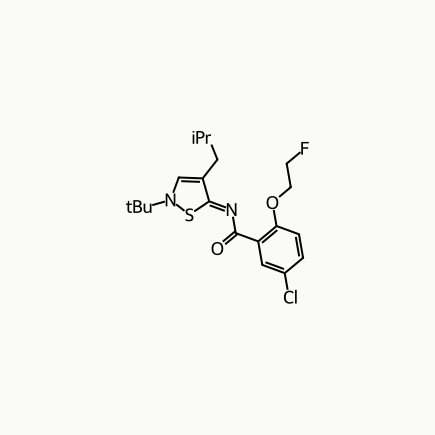 CC(C)Cc1cn(C(C)(C)C)sc1=NC(=O)c1cc(Cl)ccc1OCCF